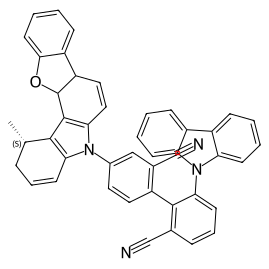 C[C@H]1CC=Cc2c1c1c(n2-c2ccc(-c3c(C#N)cccc3-n3c4ccccc4c4ccccc43)c(C#N)c2)C=CC2c3ccccc3OC12